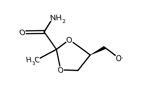 CC1(C(N)=O)OC[C@H](C[O])O1